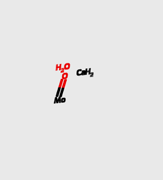 O.[CaH2].[O]=[Mo]